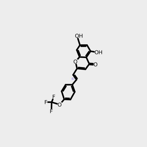 O=c1cc(/C=C/c2ccc(OC(F)(F)F)cc2)oc2cc(O)cc(O)c12